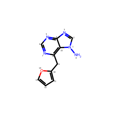 Nn1cnc2ncnc(Cc3ccco3)c21